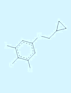 Fc1[c]c(OCC2CC2)cc(F)c1F